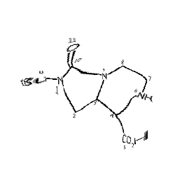 CC(C)(C)N1CC2C(C(=O)O)NCCN2C1=O